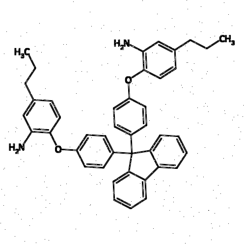 CCCc1ccc(Oc2ccc(C3(c4ccc(Oc5ccc(CCC)cc5N)cc4)c4ccccc4-c4ccccc43)cc2)c(N)c1